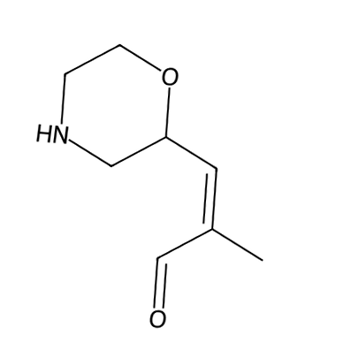 CC(C=O)=CC1CNCCO1